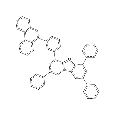 c1ccc(-c2cc(-c3ccccc3)c3oc4c(-c5cccc(-c6cc7ccccc7c7ccccc67)c5)cc(-c5ccccc5)cc4c3c2)cc1